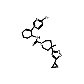 CC(C)c1ccc(C2=CCCCC2NC(=O)N2CCC(C)(c3noc(C4CC4)n3)CC2)cn1